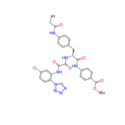 CC(C)CC(=O)Nc1ccc(C[C@H](NC(=O)C(=O)Nc2cc(Cl)ccc2-n2cnnn2)C(=O)Nc2ccc(C(=O)OC(C)(C)C)cc2)cc1